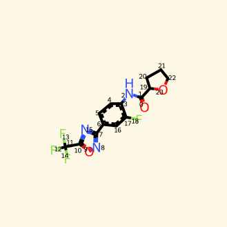 O=C(Nc1ccc(-c2noc(C(F)(F)F)n2)cc1F)C1CCCO1